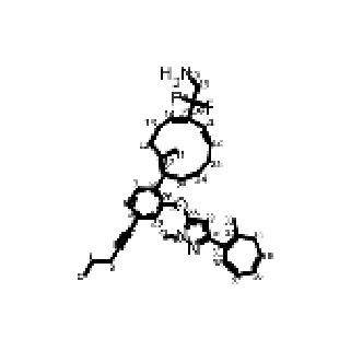 CCCC#Cc1ccc(/C2=C(/C)CC/C=C(C(F)(F)CN)\C=C/CCC2)c(Oc2cc(C3=C(C)CC=CC=C3)nn2C)c1